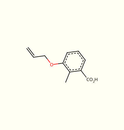 C=CCOc1cccc(C(=O)O)c1C